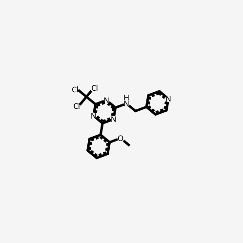 COc1ccccc1-c1nc(NCc2ccncc2)nc(C(Cl)(Cl)Cl)n1